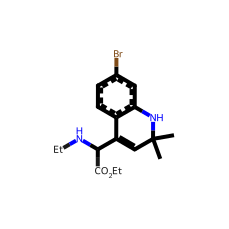 CCNC(C(=O)OCC)C1=CC(C)(C)Nc2cc(Br)ccc21